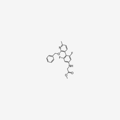 COC(=O)CNc1cc(F)c(-c2ccc(C)nc2OCc2ccccc2)c(F)c1